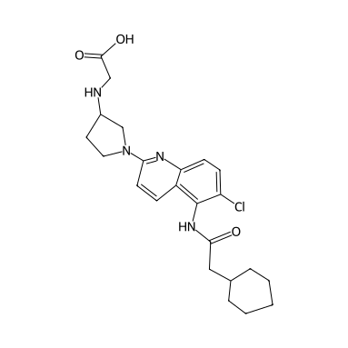 O=C(O)CNC1CCN(c2ccc3c(NC(=O)CC4CCCCC4)c(Cl)ccc3n2)C1